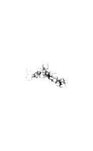 CCS(=O)(=O)Nc1ccc2sc(C(=O)Nc3cc(Cl)cc(C(C)(C)c4ccc(Cl)cc4)c3)cc2c1